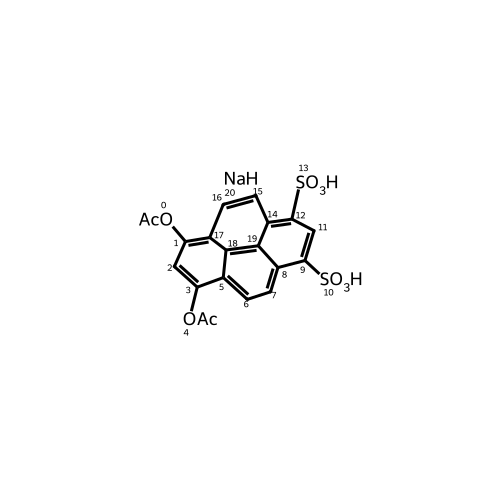 CC(=O)Oc1cc(OC(C)=O)c2ccc3c(S(=O)(=O)O)cc(S(=O)(=O)O)c4ccc1c2c43.[NaH]